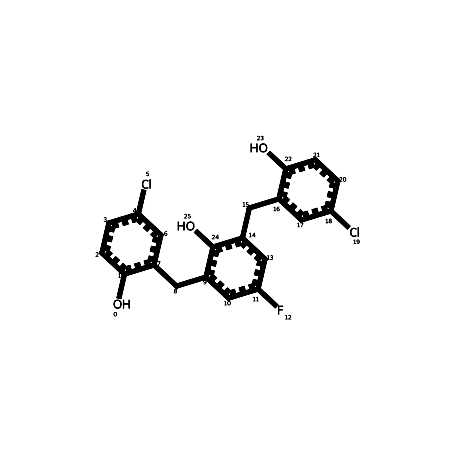 Oc1ccc(Cl)cc1Cc1cc(F)cc(Cc2cc(Cl)ccc2O)c1O